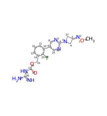 CON=C1CN(c2ncc(-c3cccc(COC(=O)NC(=N)N)c3F)cn2)C1